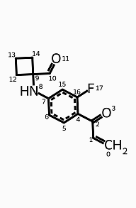 C=CC(=O)c1ccc(NC2(C=O)CCC2)cc1F